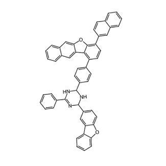 c1ccc(C2=NC(c3ccc4oc5ccccc5c4c3)NC(c3ccc(-c4ccc(-c5ccc6ccccc6c5)c5oc6cc7ccccc7cc6c45)cc3)N2)cc1